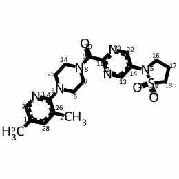 Cc1cnc(N2CCN(C(=O)c3ncc(N4CCCS4(=O)=O)cn3)CC2)c(C)c1